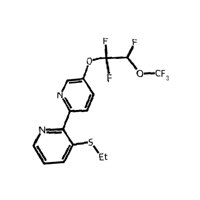 CCSc1cccnc1-c1ccc(OC(F)(F)C(F)OC(F)(F)F)cn1